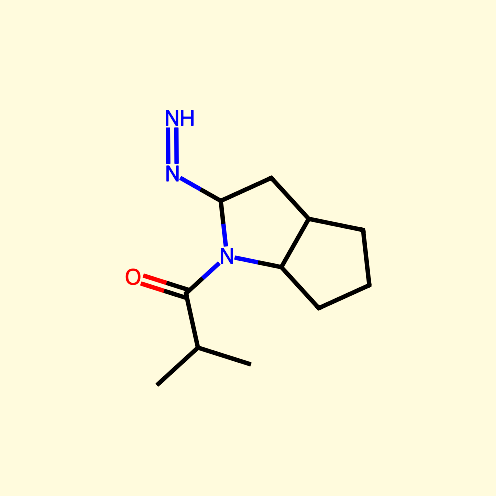 CC(C)C(=O)N1C(N=N)CC2CCCC21